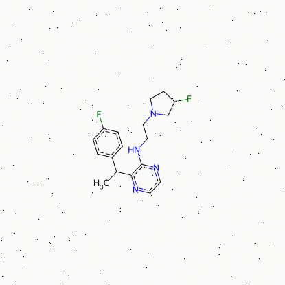 CC(c1ccc(F)cc1)c1nccnc1NCCN1CCC(F)C1